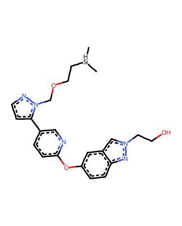 C[SiH](C)CCOCn1nccc1-c1ccc(Oc2ccc3nn(CCO)cc3c2)nc1